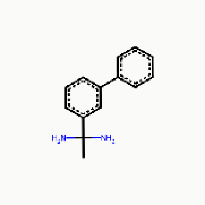 CC(N)(N)c1cccc(-c2ccccc2)c1